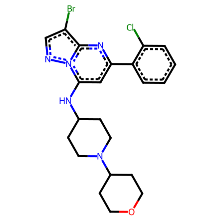 Clc1ccccc1-c1cc(NC2CCN(C3CCOCC3)CC2)n2ncc(Br)c2n1